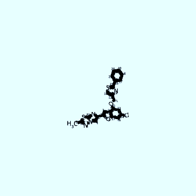 Cc1nn2cc(-c3cc4c(OCc5csc(-c6ccccc6)n5)cc(Cl)cc4o3)nc2s1